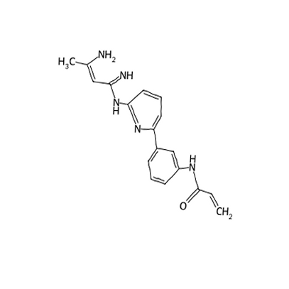 C=CC(=O)Nc1cccc(-c2cccc(NC(=N)/C=C(/C)N)n2)c1